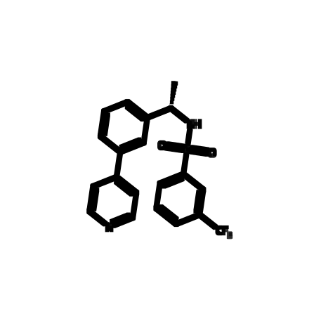 C[C@H](NS(=O)(=O)c1cccc(C(F)(F)F)c1)c1cccc(-c2ccncc2)c1